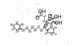 O=C(O)CCS(=O)(=O)C(c1ccccc1CCCCCCCCc1ccccc1)C(O)C(=O)O